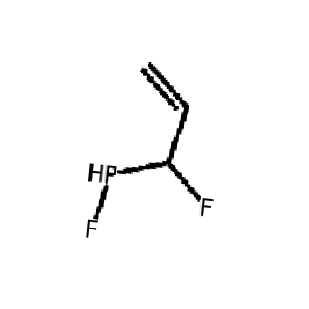 C=CC(F)PF